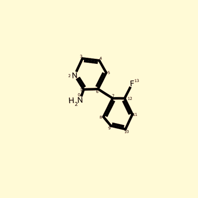 Nc1ncccc1-c1ccccc1F